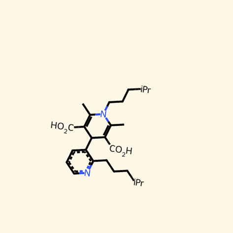 CC1=C(C(=O)O)C(c2cccnc2CCCC(C)C)C(C(=O)O)=C(C)N1CCCC(C)C